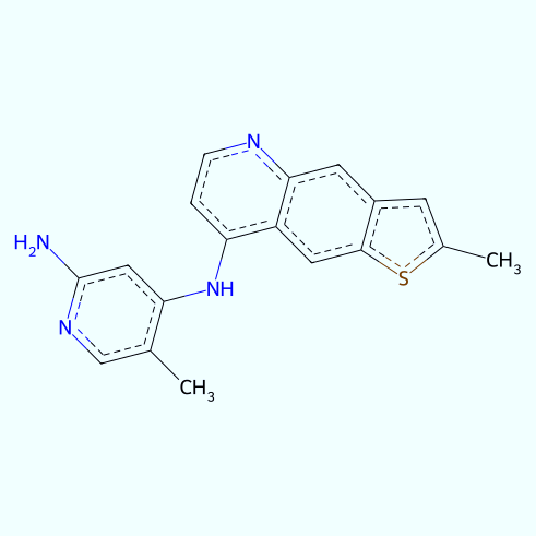 Cc1cc2cc3nccc(Nc4cc(N)ncc4C)c3cc2s1